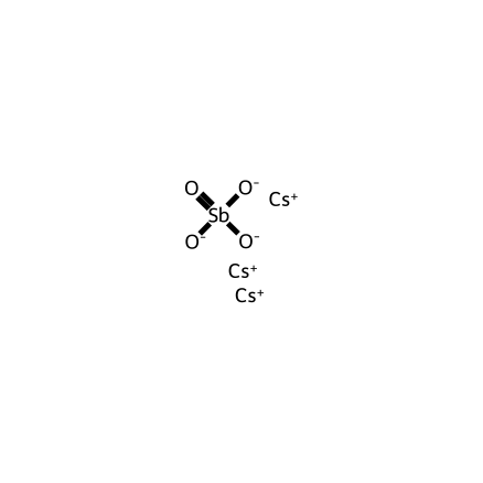 [Cs+].[Cs+].[Cs+].[O]=[Sb]([O-])([O-])[O-]